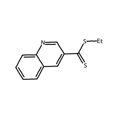 CCSC(=S)c1cnc2ccccc2c1